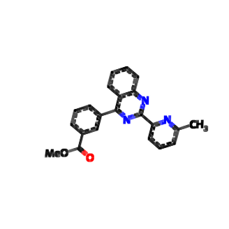 COC(=O)c1cccc(-c2nc(-c3cccc(C)n3)nc3ccccc23)c1